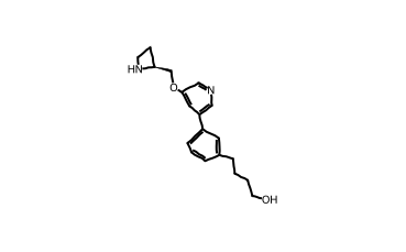 OCCCCc1cccc(-c2cncc(OC[C@@H]3CCN3)c2)c1